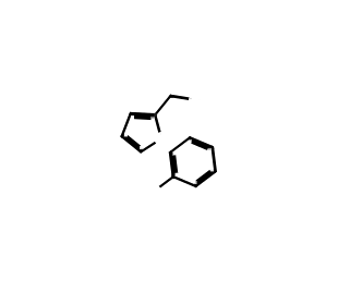 OCc1ccco1.Oc1ccccc1